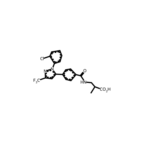 CC(CNC(=O)c1ccc(-c2cc(C(F)(F)F)nn2-c2ccccc2Cl)cc1)C(=O)O